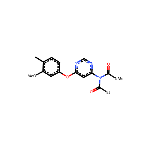 CCC(=O)N(C(=O)NC)c1cc(Oc2ccc(C)c(OC)c2)ncn1